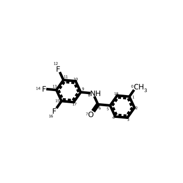 Cc1cccc(C(=O)Nc2cc(F)c(F)c(F)c2)c1